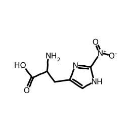 NC(Cc1c[nH]c([N+](=O)[O-])n1)C(=O)O